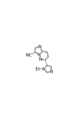 CCn1cncc1-c1ccc2ncc(C#N)n2n1